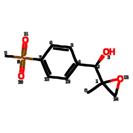 CC1([C@H](O)c2ccc(S(C)(=O)=O)cc2)CO1